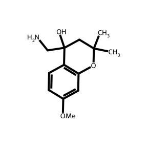 COc1ccc2c(c1)OC(C)(C)CC2(O)CN